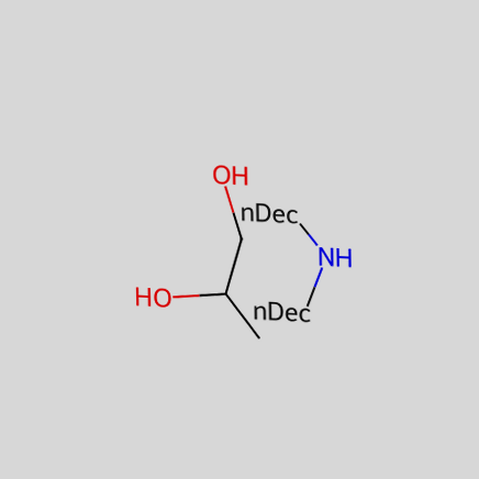 CC(O)CO.CCCCCCCCCCNCCCCCCCCCC